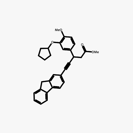 COC(=O)CC(C#Cc1ccc2c(c1)Cc1ccccc1-2)c1ccc(OC)c(OC2CCCC2)c1